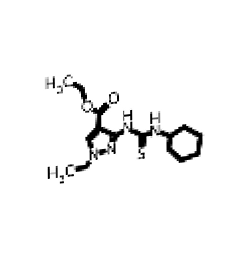 CCOC(=O)c1cn(CC)nc1NC(=S)NC1CCCCC1